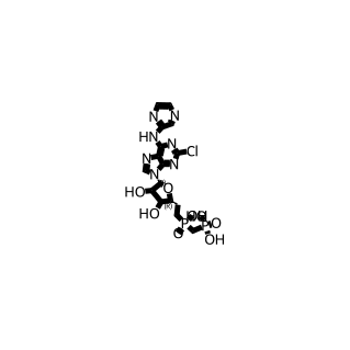 O=P(O)(O)CP(=O)(O)CC[C@H]1O[C@@H](n2cnc3c(Nc4cnccn4)nc(Cl)nc32)C(O)C1O